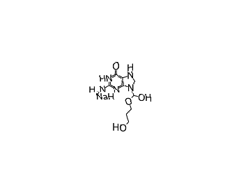 Nc1nc2c(c(=O)[nH]1)NCN2C(O)OCCCO.[NaH]